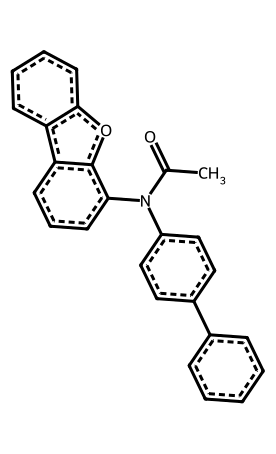 CC(=O)N(c1ccc(-c2ccccc2)cc1)c1cccc2c1oc1ccccc12